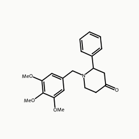 COc1cc(CN2CCC(=O)CC2c2ccccc2)cc(OC)c1OC